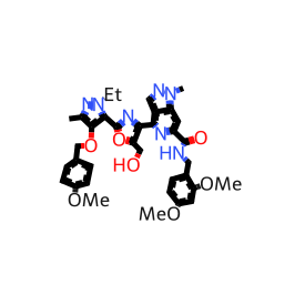 CCn1nc(C)c(OCc2ccc(OC)cc2)c1-c1nc(-c2nc(C(=O)NCc3ccc(OC)cc3OC)cc3c2cnn3C)c(CO)o1